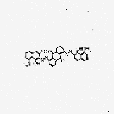 Nc1cccc2ccc(N=Nc3cccc4c3C(=O)c3cccc(N=Nc5c(S(=O)(=O)O)cc6cccc(N)c6c5O)c3C4=O)c(O)c12